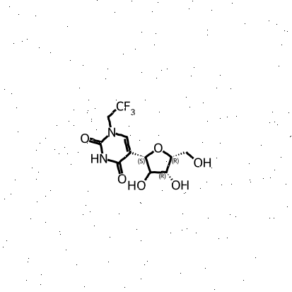 O=c1[nH]c(=O)n(CC(F)(F)F)cc1[C@@H]1O[C@H](CO)[C@H](O)C1O